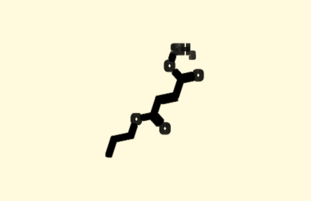 CCCOC(=O)C=CC(=O)O[SiH3]